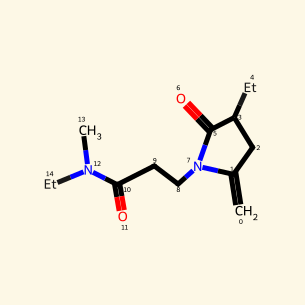 C=C1CC(CC)C(=O)N1CCC(=O)N(C)CC